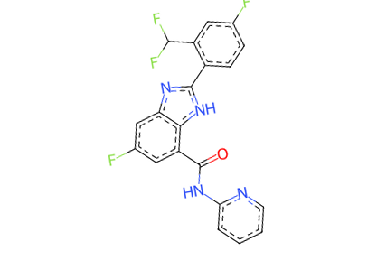 O=C(Nc1ccccn1)c1cc(F)cc2nc(-c3ccc(F)cc3C(F)F)[nH]c12